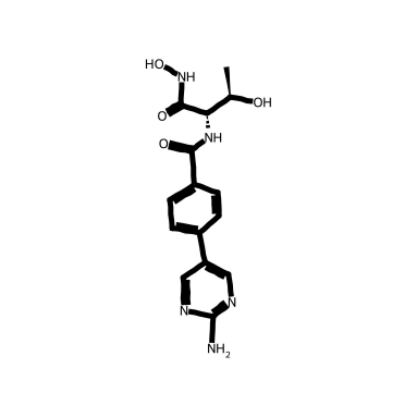 C[C@@H](O)[C@H](NC(=O)c1ccc(-c2cnc(N)nc2)cc1)C(=O)NO